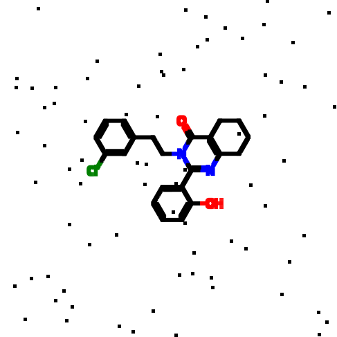 O=c1c2c(nc(-c3ccccc3O)n1CCc1cccc(Cl)c1)CCCC2